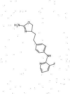 NC1=NC(CCc2ccc(Nc3ncccc3F)cc2)CO1